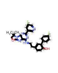 CC1(C)COc2nc3c(NCCc4ccc(O)c(-c5ccc(F)cc5)c4)nc(-c4cncc(F)c4)nc3n21